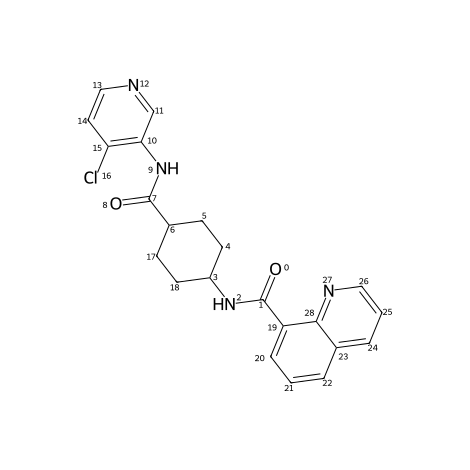 O=C(NC1CCC(C(=O)Nc2cnccc2Cl)CC1)c1cccc2cccnc12